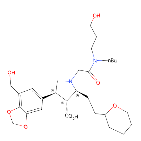 CCCCN(CCCO)C(=O)CN1C[C@H](c2cc(CO)c3c(c2)OCO3)[C@@H](C(=O)O)[C@@H]1CCC1CCCCO1